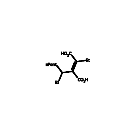 CCCCCC(CC)C(C(=O)O)=C(CC)C(=O)O